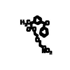 CC(C(=O)OCCOCCO[N+](=O)[O-])c1cccc(C(=O)c2ccccc2)c1